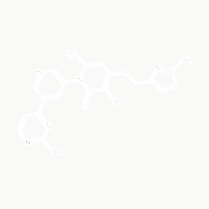 Cc1nc(COc2cc(C)n(-c3cncc(-c4ccnc(C(C)(C)C)n4)c3)c(=O)c2Cl)cs1